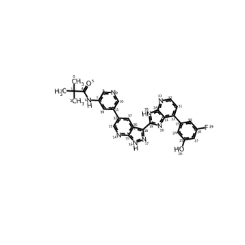 CC(C)(C)C(=O)Nc1cncc(-c2cnc3[nH]nc(-c4nc5c(-c6cc(O)cc(F)c6)ccnc5[nH]4)c3c2)c1